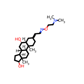 CN(C)CCO/N=C/C=C1\CC[C@@]2(C)[C@H](C1)[C@@H](O)C[C@@H]1[C@@H]2CC[C@]2(C)[C@@H](O)CC[C@@H]12